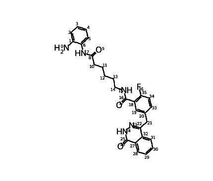 Nc1ccccc1NC(=O)CCCCCNC(=O)c1cc(Cc2n[nH]c(=O)c3ccccc23)ccc1F